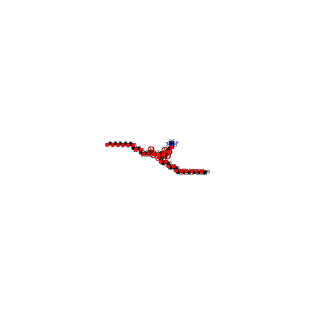 CCCCCCCCC\C=C/C=C\C=C/C=C\C=C\C(=O)OC[C@H](COP(=O)([O-])OCC[N+](C)(C)C)OC(=O)\C=C/C=C\C=C/C=C\C=C/CCCCCCCCCCC